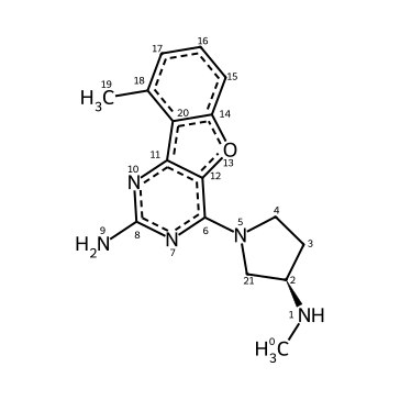 CN[C@@H]1CCN(c2nc(N)nc3c2oc2cccc(C)c23)C1